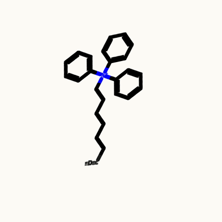 CCCCCCCCCCCCCCCC[N+](c1ccccc1)(c1ccccc1)c1ccccc1